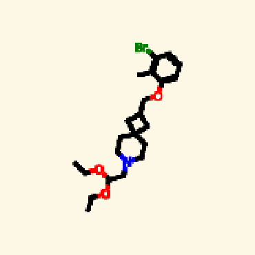 CCOC(CN1CCC2(CC1)CC(COc1cccc(Br)c1C)C2)OCC